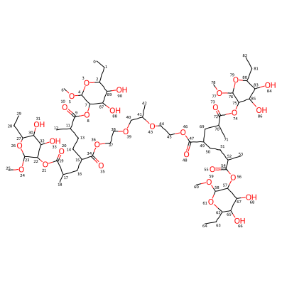 CCC1OC(OC)C(OC(=O)C(C)CCC(CC(C)C(=O)OC2C(OC)OC(CC)C(O)C2O)C(=O)OCCOCC(C)OCCOC(=O)C(CCC(C)C(=O)OC2C(OC)OC(CC)C(O)C2O)CC(C)C(=O)OC2C(OC)OC(CC)C(O)C2O)C(O)C1O